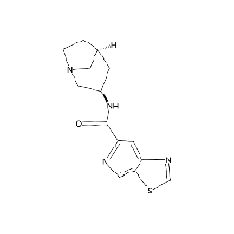 O=C(N[C@@H]1C[C@@H]2CCN(C2)C1)c1cc2ncsc2cn1